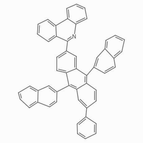 c1ccc(-c2ccc3c(-c4ccc5ccccc5c4)c4cc(-c5nc6ccccc6c6ccccc56)ccc4c(-c4ccc5ccccc5c4)c3c2)cc1